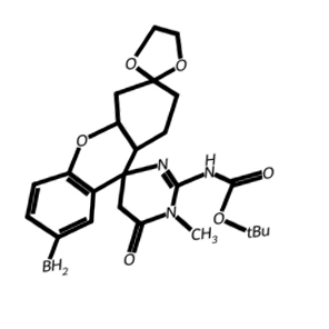 Bc1ccc2c(c1)C1(CC(=O)N(C)C(NC(=O)OC(C)(C)C)=N1)C1CCC3(CC1O2)OCCO3